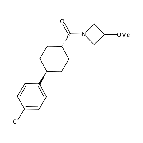 COC1CN(C(=O)[C@H]2CC[C@H](c3ccc(Cl)cc3)CC2)C1